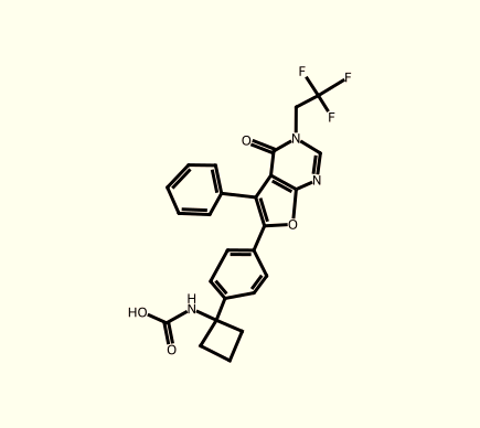 O=C(O)NC1(c2ccc(-c3oc4ncn(CC(F)(F)F)c(=O)c4c3-c3ccccc3)cc2)CCC1